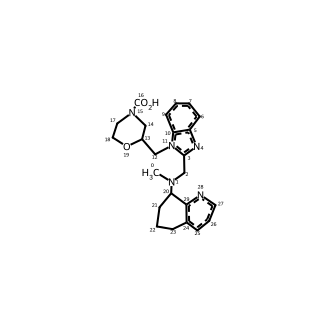 CN(Cc1nc2ccccc2n1CC1CN(C(=O)O)CCO1)C1CCCc2cccnc21